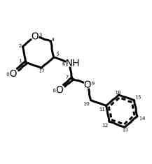 O=C1COCC(NC(=O)OCc2ccccc2)C1